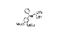 CCOC(C/N=C(\c1ccccc1)c1ccc(OC)c(OC)c1)OCC